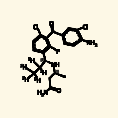 [2H]C([2H])([2H])C([2H])([2H])[C@@H](N[C@@H](C)CC(N)=O)c1ccc(Cl)c(C(=O)c2ccc(N)c(Cl)c2)c1F